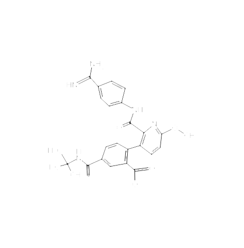 COc1ccc(-c2ccc(C(=O)NC(C)(C)C)cc2C(=O)O)c(C(=O)Nc2ccc(C(=N)N)cc2)n1